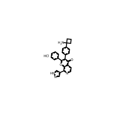 Cl.NC1(c2ccc(-c3c(-c4ccccc4)oc4c(-c5cn[nH]c5)nccc4c3=O)cc2)CCC1